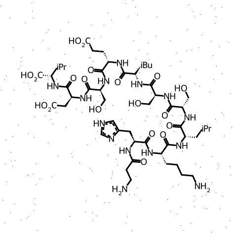 CC[C@H](C)[C@H](NC(=O)[C@H](CO)NC(=O)[C@H](CO)NC(=O)[C@H](CC(C)C)NC(=O)[C@H](CCCCN)NC(=O)[C@H](Cc1c[nH]cn1)NC(=O)CCN)C(=O)N[C@@H](CCC(=O)O)C(=O)N[C@@H](CO)C(=O)N[C@@H](CC(=O)O)C(=O)N[C@H](C(=O)O)C(C)C